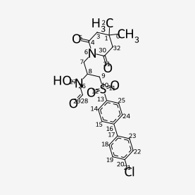 CC1(C)CC(=O)N(CC(CS(=O)(=O)c2ccc(-c3ccc(Cl)cc3)cc2)N(O)C=O)C(=O)C1